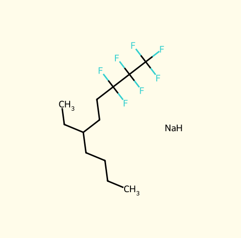 CCCCC(CC)CCC(F)(F)C(F)(F)C(F)(F)F.[NaH]